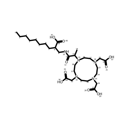 CCCCCCCCC(CNC(=O)C(C)N1CCN(CC(=O)O)CCN(CC(=O)O)CCN(CC(=O)O)CC1)C(=O)O